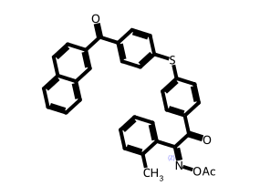 CC(=O)O/N=C(\C(=O)c1ccc(Sc2ccc(C(=O)c3ccc4ccccc4c3)cc2)cc1)c1ccccc1C